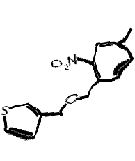 Cc1ccc(COCc2ccsc2)c([N+](=O)[O-])c1